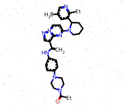 Bc1cnc(CC)c(C2CCCCN2c2ccn3ncc(C(=C)Nc4ccc(N5CCN(C(=O)CC)CC5)cc4)c3n2)c1